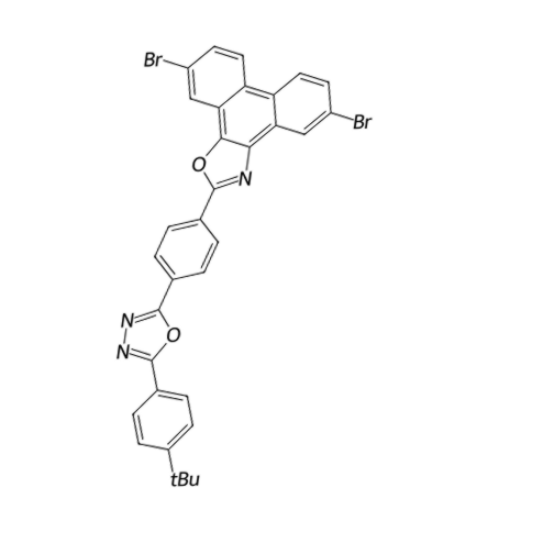 CC(C)(C)c1ccc(-c2nnc(-c3ccc(-c4nc5c6cc(Br)ccc6c6ccc(Br)cc6c5o4)cc3)o2)cc1